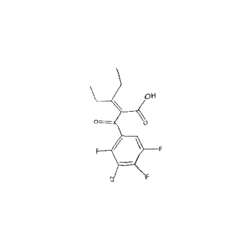 CCC(CC)=C(C(=O)O)C(=O)c1cc(F)c(F)c(Cl)c1F